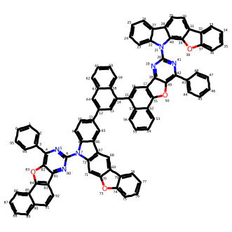 c1ccc(-c2nc(-n3c4ccc(-c5cc(-c6cc7c8nc(-n9c%10ccccc%10c%10ccc%11c%12ccccc%12oc%11c%109)nc(-c9ccccc9)c8oc7c7ccccc67)c6ccccc6c5)cc4c4cc5c(cc43)oc3ccccc35)nc3c2oc2c4ccccc4ccc32)cc1